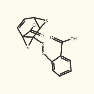 O=C(O)c1ccccc1SSC12SC1(C(=O)O)C=CC1SC12